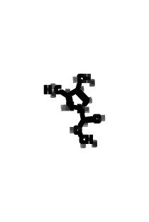 COC(=O)n1cc(C)c(C)n1